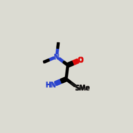 CSC(=N)C(=O)N(C)C